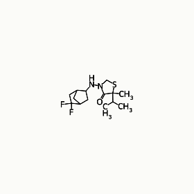 CC(C)C1(C)SCN(NC2CC3CC2CC3(F)F)C1=O